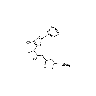 CCC(CC(=O)CC(C)SC)C(C)c1sc(-c2cccnc2)nc1Cl